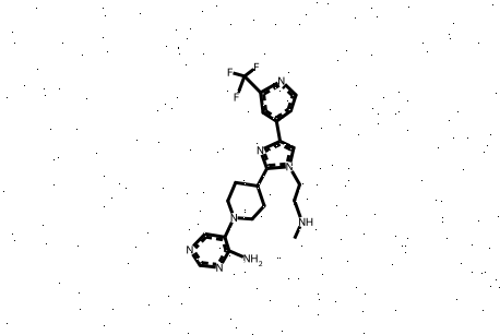 CNCCn1cc(-c2ccnc(C(F)(F)F)c2)nc1C1CCN(c2cncnc2N)CC1